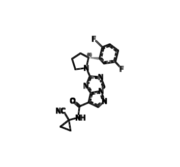 N#CC1(NC(=O)c2cnn3cnc(N4CCC[C@@H]4c4cc(F)ccc4F)nc23)CC1